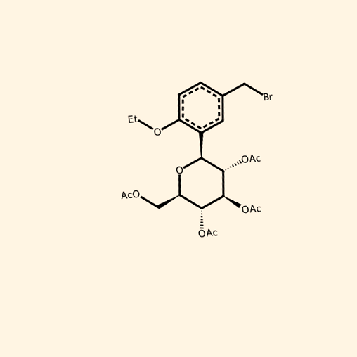 CCOc1ccc(CBr)cc1[C@@H]1O[C@H](COC(C)=O)[C@@H](OC(C)=O)[C@H](OC(C)=O)[C@H]1OC(C)=O